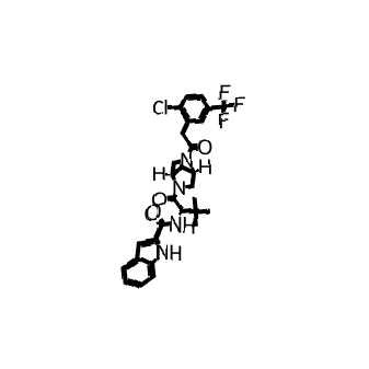 CC(C)(C)[C@H](NC(=O)c1cc2ccccc2[nH]1)C(=O)N1C[C@@H]2C[C@H]1CN2C(=O)Cc1cc(C(F)(F)F)ccc1Cl